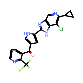 O=C(c1c[nH]c(-c2nc3cnc(C4CC4)c(Cl)c3[nH]2)c1)c1cccnc1C(F)(F)F